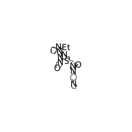 CCc1nc2ccccc2n1-c1nc(N2CCOCC2)c2sc(CN3CCN(C4CCC(N5CCCC5)CC4)CC3=O)cc2n1